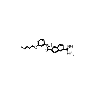 CCCCCOc1cccc(NC(=O)c2ccc3cc(C(=N)N)ccc3c2)c1